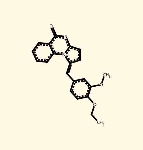 CCOc1ccc(C=c2ccc3nc(=O)c4ccccc4n23)cc1OC